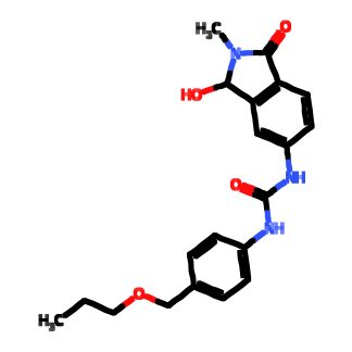 CCCOCc1ccc(NC(=O)Nc2ccc3c(c2)C(O)N(C)C3=O)cc1